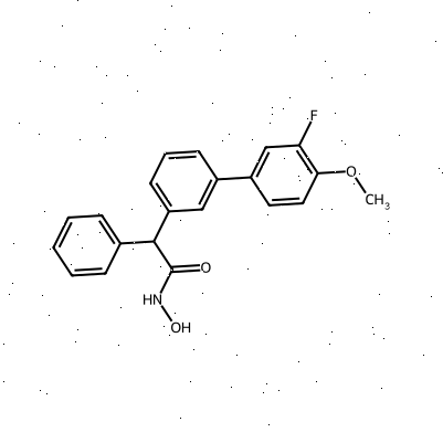 COc1ccc(-c2cccc(C(C(=O)NO)c3ccccc3)c2)cc1F